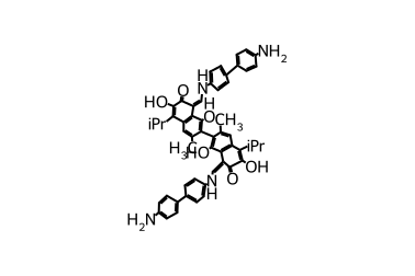 Cc1cc2c(c(O)c1-c1c(C)cc3c(c1O)/C(=C/Nc1ccc(-c4ccc(N)cc4)cc1)C(=O)C(O)=C3C(C)C)/C(=C/Nc1ccc(-c3ccc(N)cc3)cc1)C(=O)C(O)=C2C(C)C